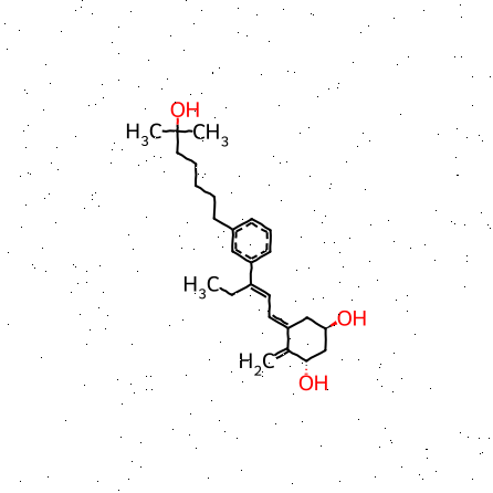 C=C1C(=C/C=C(\CC)c2cccc(CCCCCC(C)(C)O)c2)C[C@@H](O)C[C@@H]1O